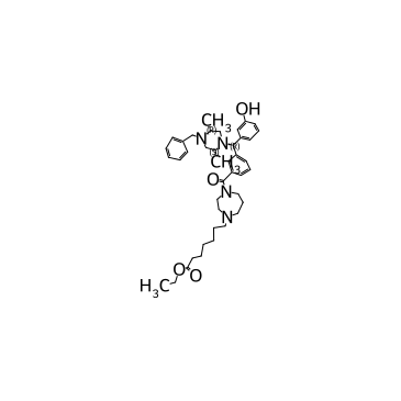 CCOC(=O)CCCCCCN1CCCN(C(=O)c2cccc([C@H](c3cccc(O)c3)N3C[C@@H](C)N(Cc4ccccc4)C[C@@H]3C)c2)CC1